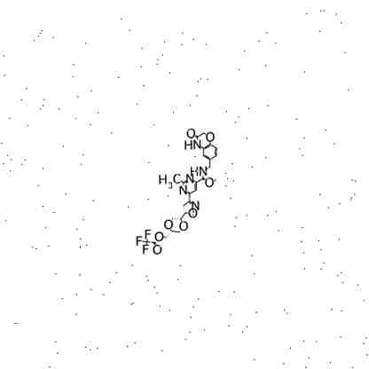 Cc1nc(C(=O)NCc2ccc3c(c2)NC(=O)CO3)cc(C2=NO[C@H]([C@H]3CO[C@@H](COC(=O)C(F)(F)F)CO3)C2)n1